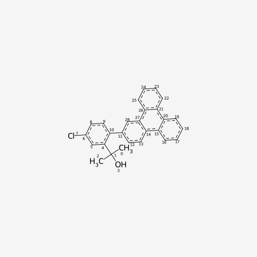 CC(C)(O)c1cc(Cl)ccc1-c1ccc2c3ccccc3c3ccccc3c2c1